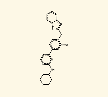 O=c1cc(-c2ccnc(NC3CCOCC3)n2)ccn1Cc1nc2ccccc2s1